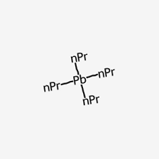 CC[CH2][Pb]([CH2]CC)([CH2]CC)[CH2]CC